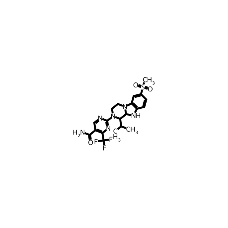 CC(C)C1C2Nc3ccc(S(C)(=O)=O)cc3N2CCN1c1ncc(C(N)=O)c(C(F)(F)F)n1